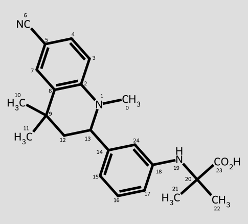 CN1c2ccc(C#N)cc2C(C)(C)CC1c1cccc(NC(C)(C)C(=O)O)c1